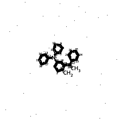 C=c1ccc(N(c2ccccc2)c2ccccc2)c/c1=C(/C)c1ccccc1